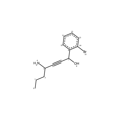 CCCC(N)C#CC(O)c1ccccc1Br